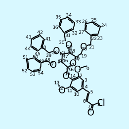 COc1cc(C=CC(=O)Cl)cc(OC)c1O[C@@H]1O[C@H](COCc2ccccc2)[C@H](OCc2ccccc2)[C@H](OCc2ccccc2)[C@H]1OCc1ccccc1